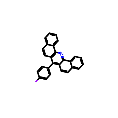 Ic1ccc(-c2c3ccc4ccccc4c3nc3c2ccc2ccccc23)cc1